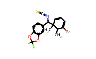 CC1C(Br)=CC=CC1(C)C(N=C=S)c1ccc2c(c1)OC(F)(F)O2